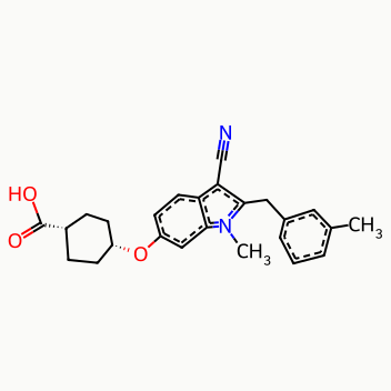 Cc1cccc(Cc2c(C#N)c3ccc(O[C@H]4CC[C@@H](C(=O)O)CC4)cc3n2C)c1